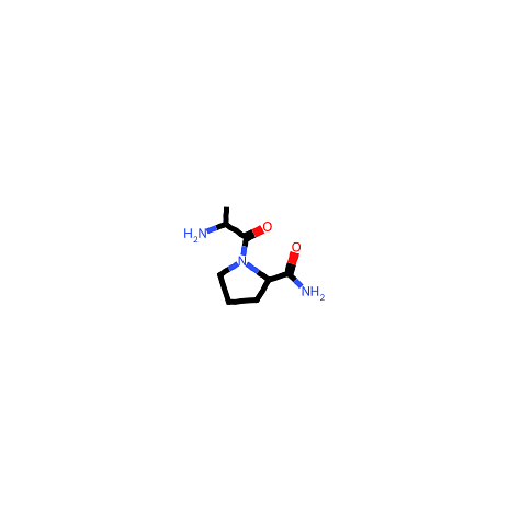 CC(N)C(=O)N1CCCC1C(N)=O